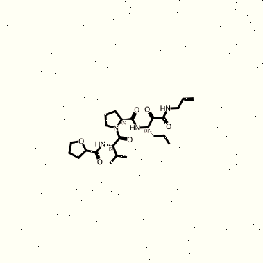 C=CCNC(=O)C(=O)[C@H](CCC)NC(=O)[C@@H]1CCCN1C(=O)[C@@H](NC(=O)C1CCCO1)C(C)C